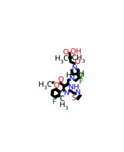 CCOC(=O)C1=C(CN2CC(F)(F)[C@H]3CN(C(=O)CC(C)(C)C(=O)O)C[C@H]32)NC(c2nccs2)=N[C@H]1c1cccc(F)c1C